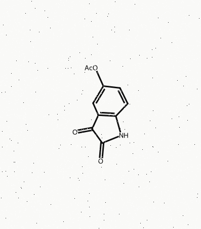 CC(=O)Oc1ccc2c(c1)C(=O)C(=O)N2